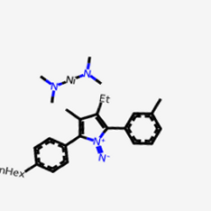 CCCCCCc1ccc(C2=C(C)C(CC)=C(c3cccc(C)c3)[N+]2=[N-])cc1.C[N](C)[Ni][N](C)C